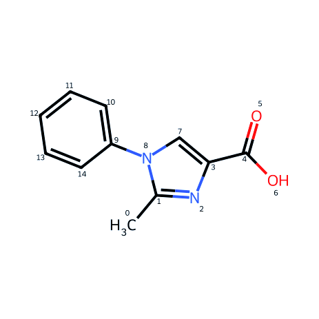 Cc1nc(C(=O)O)cn1-c1ccccc1